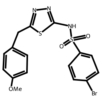 COc1ccc(Cc2nnc(NS(=O)(=O)c3ccc(Br)cc3)s2)cc1